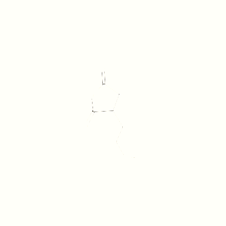 CCCCCCCC1CC(=O)OC1=S